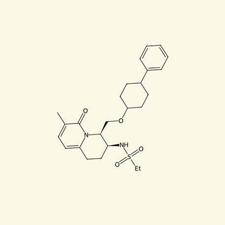 CCS(=O)(=O)N[C@H]1CCc2ccc(C)c(=O)n2[C@H]1COC1CCC(c2ccccc2)CC1